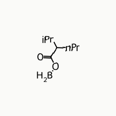 BOC(=O)C(CCC)C(C)C